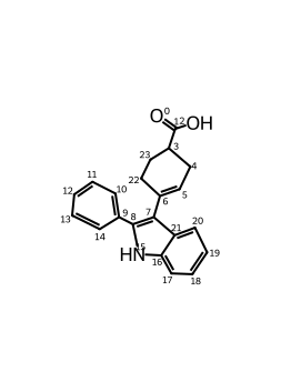 O=C(O)C1CC=C(c2c(-c3ccccc3)[nH]c3ccccc23)CC1